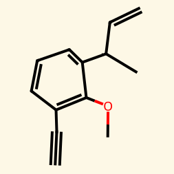 C#Cc1cccc([C](C)C=C)c1OC